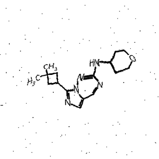 CC1(C)CC(c2ncc3cnc(NC4CCOCC4)nn23)C1